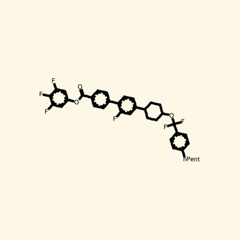 CCCCCc1ccc(C(F)(F)OC2CCC(c3ccc(-c4ccc(C(=O)Oc5cc(F)c(F)c(F)c5)cc4)c(F)c3)CC2)cc1